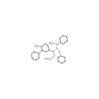 CCOC(=O)CC(c1ccc(C)c(-c2ccccc2)c1)N(Cc1ccccc1)C(C)c1ccccc1